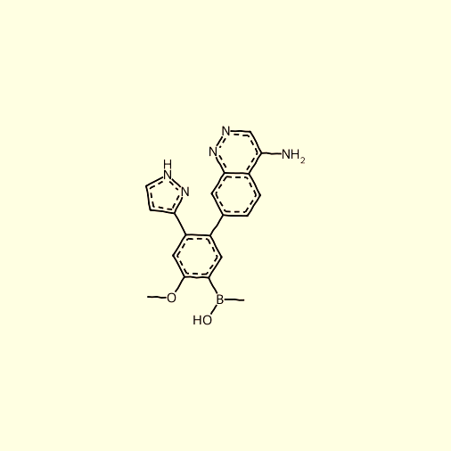 COc1cc(-c2cc[nH]n2)c(-c2ccc3c(N)cnnc3c2)cc1B(C)O